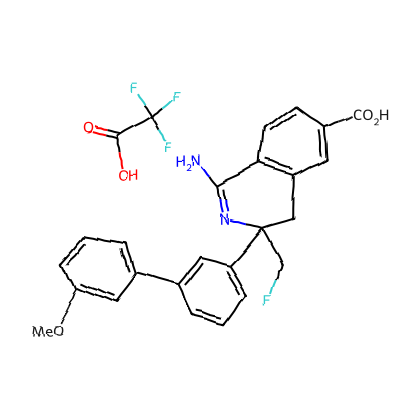 COc1cccc(-c2cccc(C3(CF)Cc4cc(C(=O)O)ccc4C(N)=N3)c2)c1.O=C(O)C(F)(F)F